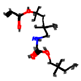 C=CC(=O)OC(C)(C)CC(C)(CC)CNC(=O)OCC(C)(C)CC(C)C